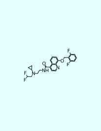 O=C(NCCN(CC(F)F)C1CC1)c1ccnc2c(OCc3c(F)cccc3F)cccc12